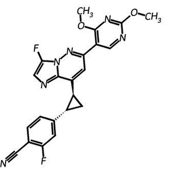 COc1ncc(-c2cc([C@H]3C[C@@H]3c3ccc(C#N)c(F)c3)c3ncc(F)n3n2)c(OC)n1